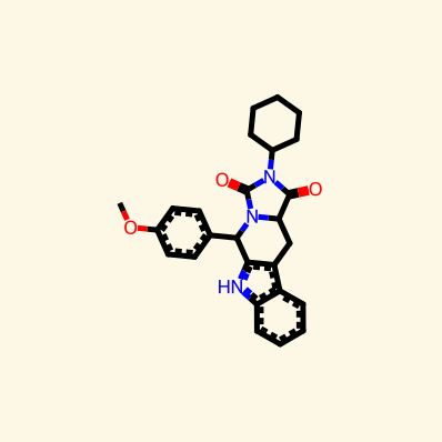 COc1ccc(C2c3[nH]c4ccccc4c3CC3C(=O)N(C4CCCCC4)C(=O)N32)cc1